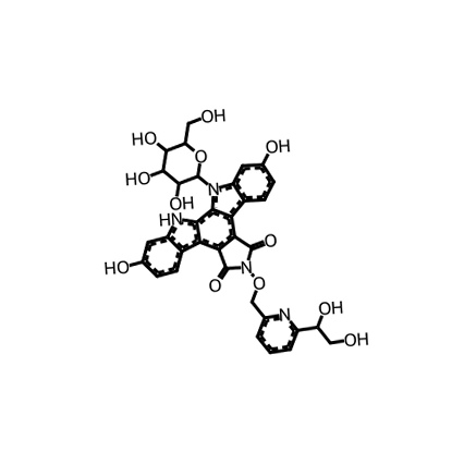 O=C1c2c(c3c4ccc(O)cc4n(C4OC(CO)C(O)C(O)C4O)c3c3[nH]c4cc(O)ccc4c23)C(=O)N1OCc1cccc(C(O)CO)n1